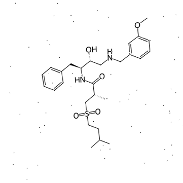 [CH2][C@H](CS(=O)(=O)CCC(C)C)C(=O)N[C@@H](Cc1ccccc1)[C@H](O)CNCc1cccc(OC)c1